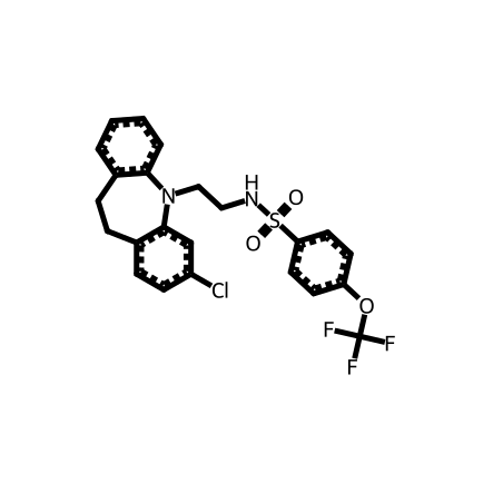 O=S(=O)(NCCN1c2ccccc2CCc2ccc(Cl)cc21)c1ccc(OC(F)(F)F)cc1